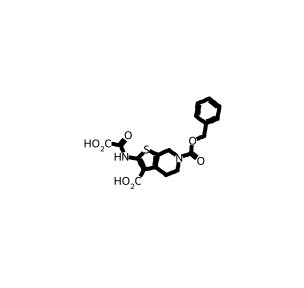 O=C(O)C(=O)Nc1sc2c(c1C(=O)O)CCN(C(=O)OCc1ccccc1)C2